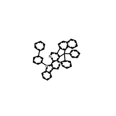 c1ccc(-c2cccc(-n3c4ccccc4c4cnc5c6c(cnc5c43)-c3ccc4ccccc4c3C6(c3ccccc3)c3ccccc3)c2)cc1